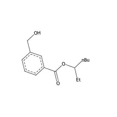 CCCCC(CC)OC(=O)c1cccc(CO)c1